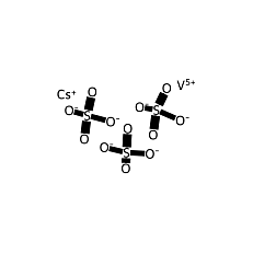 O=S(=O)([O-])[O-].O=S(=O)([O-])[O-].O=S(=O)([O-])[O-].[Cs+].[V+5]